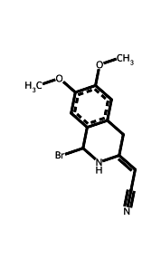 COc1cc2c(cc1OC)C(Br)NC(=CC#N)C2